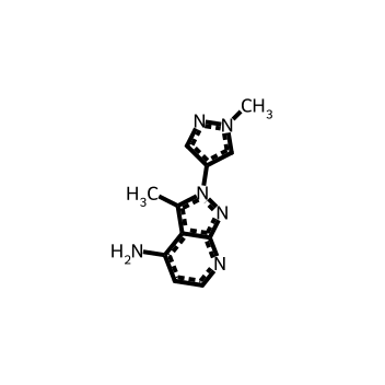 Cc1c2c(N)ccnc2nn1-c1cnn(C)c1